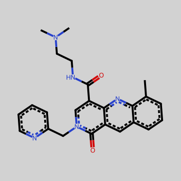 Cc1cccc2cc3c(=O)n(Cc4ccccn4)cc(C(=O)NCCN(C)C)c3nc12